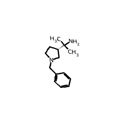 CC(C)(N)[C@H]1CCN(Cc2ccccc2)C1